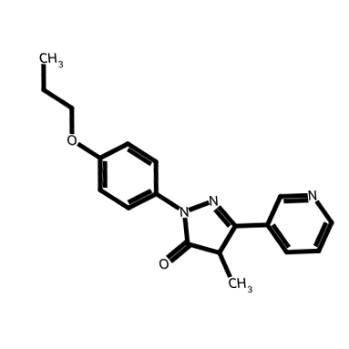 CCCOc1ccc(N2N=C(c3cccnc3)C(C)C2=O)cc1